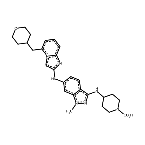 Cn1nc(NC2CCN(C(=O)O)CC2)c2ccc(Nc3nc4cccc(CC5CCOCC5)n4n3)cc21